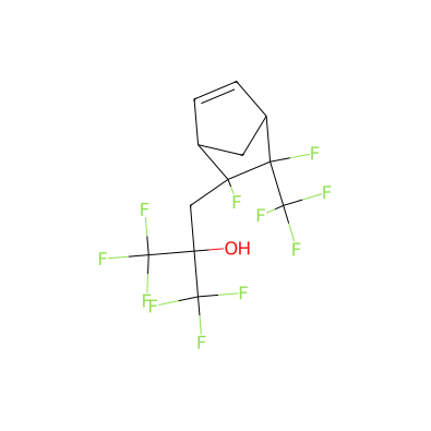 OC(CC1(F)C2C=CC(C2)C1(F)C(F)(F)F)(C(F)(F)F)C(F)(F)F